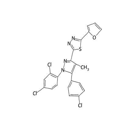 Cc1c(-c2nnc(-c3ccco3)s2)nn(-c2ccc(Cl)cc2Cl)c1-c1ccc(Cl)cc1